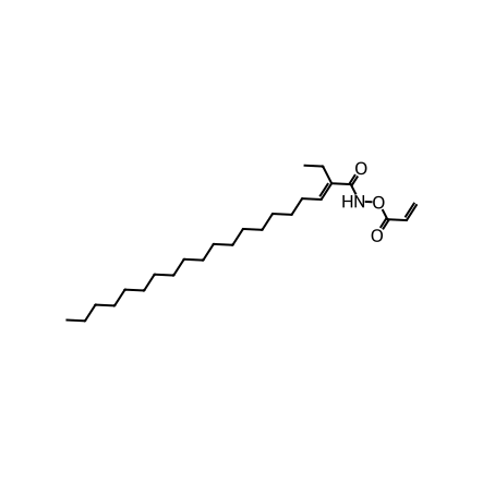 C=CC(=O)ONC(=O)C(=CCCCCCCCCCCCCCCCCC)CC